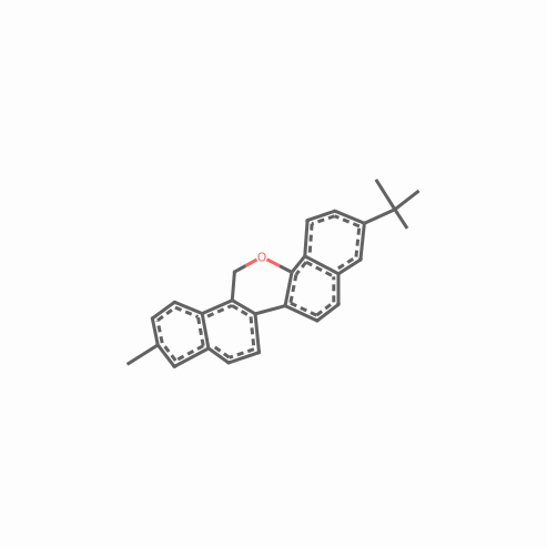 Cc1ccc2c3c(ccc2c1)-c1ccc2cc(C(C)(C)C)ccc2c1OC3